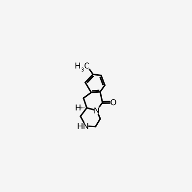 Cc1ccc2c(c1)C[C@@H]1CNCCN1C2=O